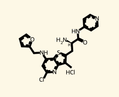 Cc1c(C[C@@H](N)C(=O)Nc2ccncc2)sc2c(NCc3ccco3)cc(Cl)nc12.Cl